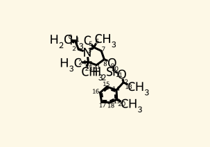 C=CCN1C(C)(C)CC(O[SiH2]OC(C)c2ccccc2C)CC1(C)C